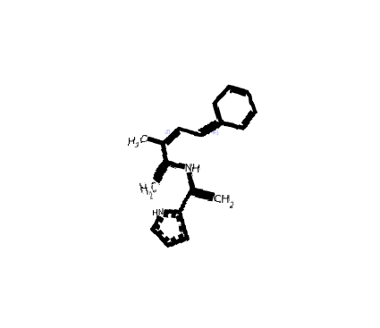 C=C(NC(=C)c1ccc[nH]1)/C(C)=C\C=C1\C=CC=CC1